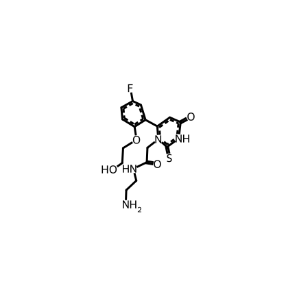 NCCNC(=O)Cn1c(-c2cc(F)ccc2OCCO)cc(=O)[nH]c1=S